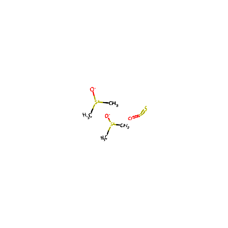 C[S+](C)[O-].C[S+](C)[O-].O=S